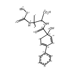 CC(C)(C)OC(=O)NC(C)(C)C(NC(=O)C1(O)C=CC(c2ccccc2)=CC1)C(=O)O